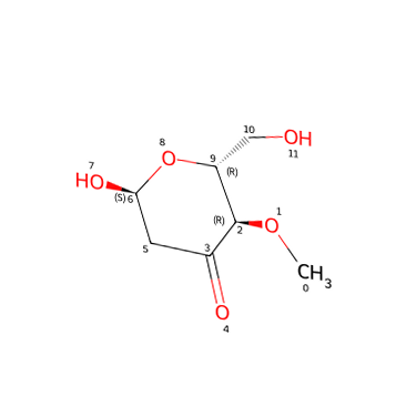 CO[C@H]1C(=O)C[C@@H](O)O[C@@H]1CO